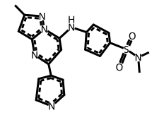 Cc1cc2nc(-c3ccncc3)cc(Nc3ccc(S(=O)(=O)N(C)C)cc3)n2n1